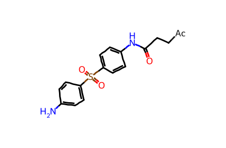 CC(=O)CCC(=O)Nc1ccc(S(=O)(=O)c2ccc(N)cc2)cc1